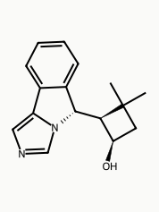 CC1(C)C[C@@H](O)[C@H]1[C@H]1c2ccccc2-c2cncn21